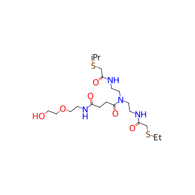 CCSCC(=O)NCCN(CCNC(=O)CSC(C)C)C(=O)CCC(=O)NCCOCCO